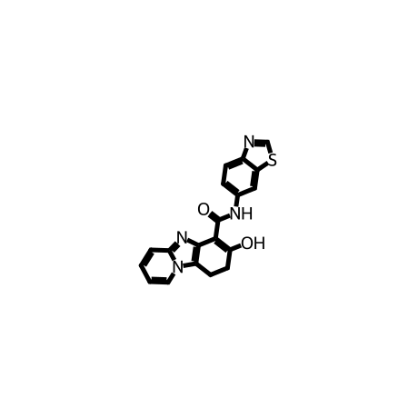 O=C(Nc1ccc2ncsc2c1)C1=C(O)CCc2c1nc1ccccn21